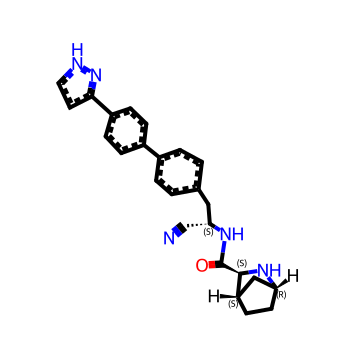 N#C[C@H](Cc1ccc(-c2ccc(-c3cc[nH]n3)cc2)cc1)NC(=O)[C@H]1N[C@@H]2CC[C@H]1C2